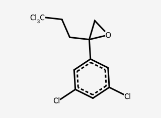 Clc1cc(Cl)cc(C2(CCC(Cl)(Cl)Cl)CO2)c1